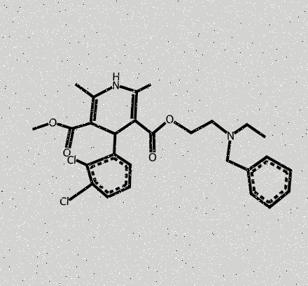 CCN(CCOC(=O)C1=C(C)NC(C)=C(C(=O)OC)C1c1cccc(Cl)c1Cl)Cc1ccccc1